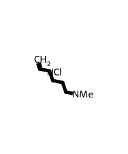 C=CCCCCNC.Cl